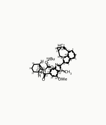 C#Cc1cccc2cc(-c3nc4cc(C(=O)N5C[C@H]6CCC[C@@H]5C6NC(=O)OC(C)(C)C)cc(OC)c4n3C)n(CC3CC3)c12